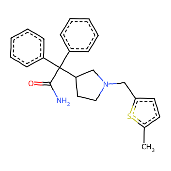 Cc1ccc(CN2CCC(C(C(N)=O)(c3ccccc3)c3ccccc3)C2)s1